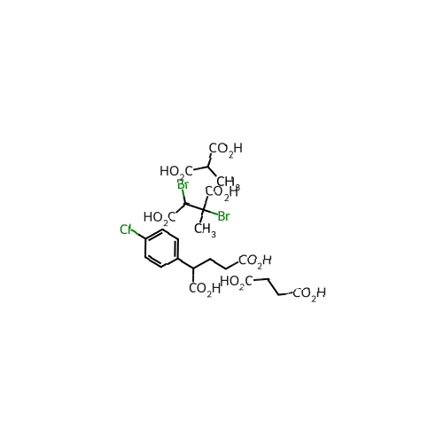 CC(Br)(C(=O)O)C(Br)C(=O)O.CC(C(=O)O)C(=O)O.O=C(O)CCC(=O)O.O=C(O)CCC(C(=O)O)c1ccc(Cl)cc1